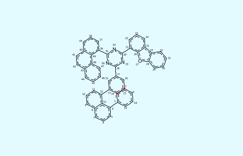 c1ccc(-c2cccc3cccc(-c4cccc(-c5nc(-c6cccc7c6oc6ccccc67)nc(-c6cccc7ccc8ccccc8c67)n5)c4)c23)cc1